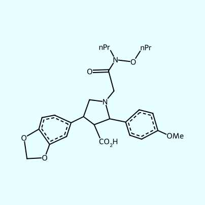 CCCON(CCC)C(=O)CN1CC(c2ccc3c(c2)OCO3)C(C(=O)O)C1c1ccc(OC)cc1